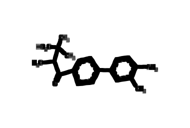 Cc1cc(-c2ccc(C(=O)C(C)C(C)(C)C(=O)O)cc2)ccc1N